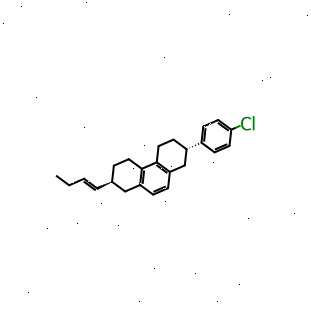 CCC=C[C@H]1CCc2c(ccc3c2CC[C@H](c2ccc(Cl)cc2)C3)C1